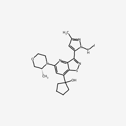 Cc1cc(-c2nsc3c(C4(O)CCCC4)cc(N4CCOC[C@H]4C)nc23)n(PI)n1